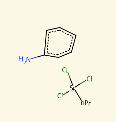 CCC[Si](Cl)(Cl)Cl.Nc1ccccc1